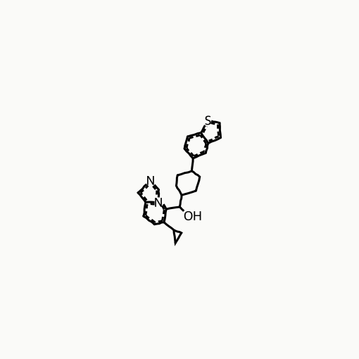 OC(c1c(C2CC2)ccc2cncn12)C1CCC(c2ccc3sccc3c2)CC1